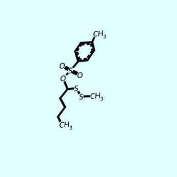 CCCCC(OS(=O)(=O)c1ccc(C)cc1)SSC